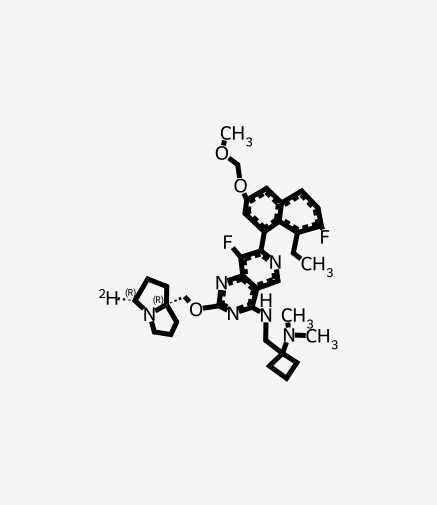 [2H][C@@H]1CC[C@@]2(COc3nc(NCC4(N(C)C)CCC4)c4cnc(-c5cc(OCOC)cc6ccc(F)c(CC)c56)c(F)c4n3)CCCN12